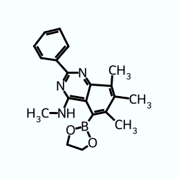 CNc1nc(-c2ccccc2)nc2c(C)c(C)c(C)c(B3OCCO3)c12